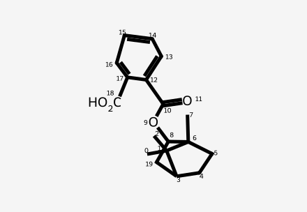 CC1(C)C2CCC1(C)C(OC(=O)c1ccccc1C(=O)O)C2